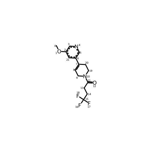 COc1cncc(C2=CCN(C(=O)CCC(F)(F)F)CC2)c1